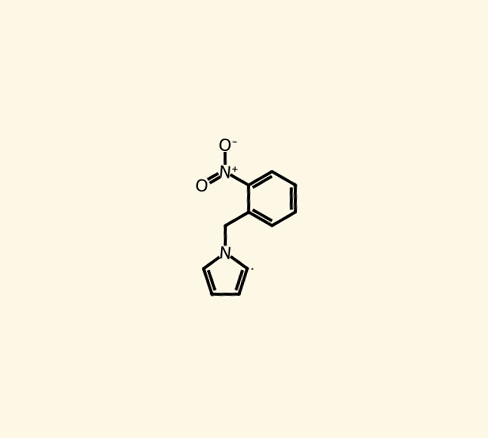 O=[N+]([O-])c1ccccc1Cn1[c]ccc1